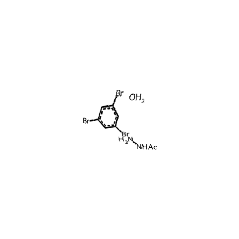 Brc1cc(Br)cc(Br)c1.CC(=O)NN.O